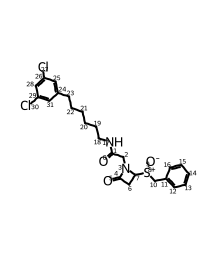 O=C(CN1C(=O)CC1[S+]([O-])Cc1ccccc1)NCCCCCCc1cc(Cl)cc(Cl)c1